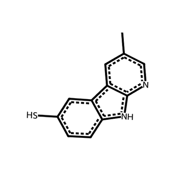 Cc1cnc2[nH]c3ccc(S)cc3c2c1